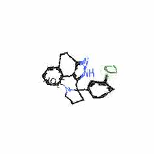 O=C(O)N1CCCC1(c1cccc(Cl)c1)c1[nH]nc2c1-c1ccccc1CC2